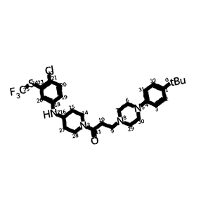 CC(C)(C)c1ccc(N2CCN(CCC(=O)N3CCC(Nc4ccc(Cl)c(SC(F)(F)F)c4)CC3)CC2)cc1